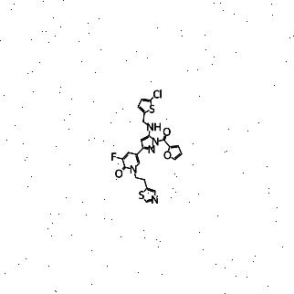 O=C(c1ccco1)n1nc(-c2cc(F)c(=O)n(CCc3cncs3)c2)cc1NCc1ccc(Cl)s1